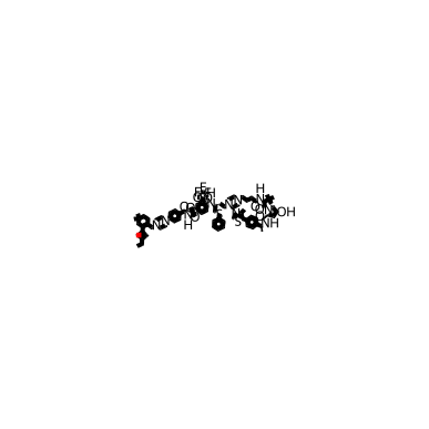 CCC12CC(C3=C(CN4CCN(c5ccc(C(=O)NS(=O)(=O)c6ccc(N[C@H](CCN7CCN(CCCC(=O)N[C@H](C(=O)N8C[C@H](O)C[C@H]8C(=O)N[C@@H](C)c8ccc(-c9scnc9C)cc8)C(C)(C)C)CC7)CSc7ccccc7)c(S(=O)(=O)C(F)(F)F)c6)cc5)CC4)CCC(C)(C)C3)(C1)C2